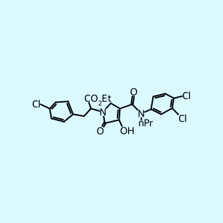 CCCN(C(=O)C1=C(O)C(=O)N(C(Cc2ccc(Cl)cc2)C(=O)OCC)C1)c1ccc(Cl)c(Cl)c1